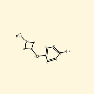 CC(C)(C)N1CC(Oc2ccc(I)cc2)C1